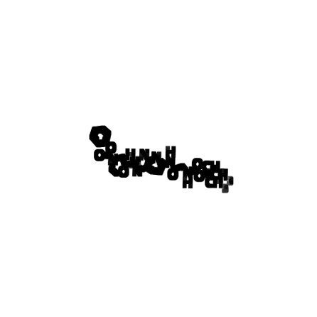 CC(C)(C)OC(=O)NCC(=O)Nc1ccc(N=NC2CN(C(=O)Oc3ccccc3)CCO2)c(N)n1